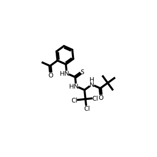 CC(=O)c1ccccc1NC(=S)NC(NC(=O)C(C)(C)C)C(Cl)(Cl)Cl